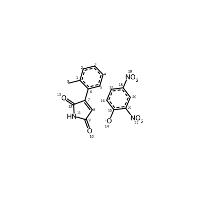 Cc1ccccc1C1=CC(=O)NC1=O.[O]c1ccc([N+](=O)[O-])cc1[N+](=O)[O-]